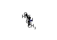 CCOC(=O)/C(=C/I)c1csc(NC=O)n1